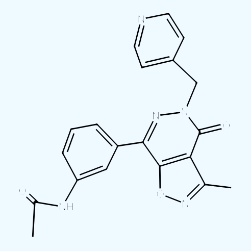 CC(=O)Nc1cccc(-c2nn(Cc3ccncc3)c(=O)c3c(C)noc23)c1